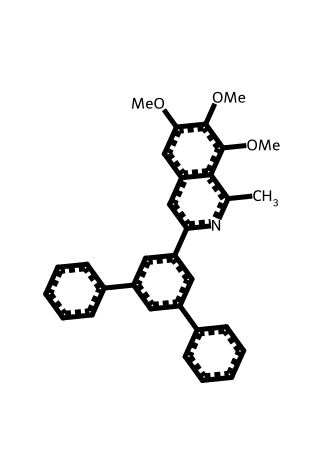 COc1cc2cc(-c3cc(-c4ccccc4)cc(-c4ccccc4)c3)nc(C)c2c(OC)c1OC